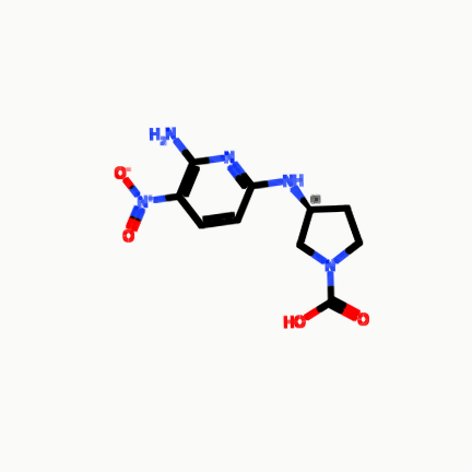 Nc1nc(N[C@H]2CCN(C(=O)O)C2)ccc1[N+](=O)[O-]